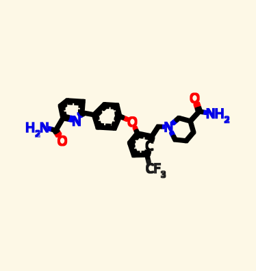 NC(=O)c1cccc(-c2ccc(Oc3ccc(C(F)(F)F)cc3CN3CCCC(C(N)=O)C3)cc2)n1